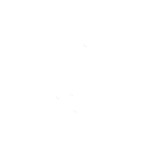 Cc1nc2cc(-c3cccc(Nc4ncccc4N)c3)ccc2s1